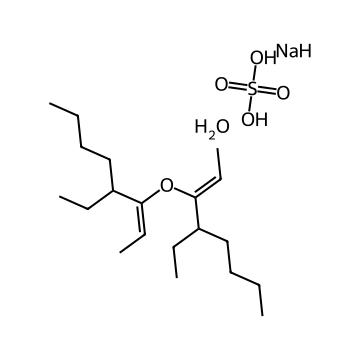 CC=C(OC(=CC)C(CC)CCCC)C(CC)CCCC.O.O=S(=O)(O)O.[NaH]